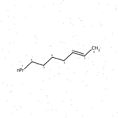 [CH2]C=CCCCCCC[CH2]